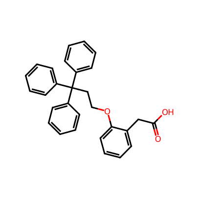 O=C(O)Cc1ccccc1OCCC(c1ccccc1)(c1ccccc1)c1ccccc1